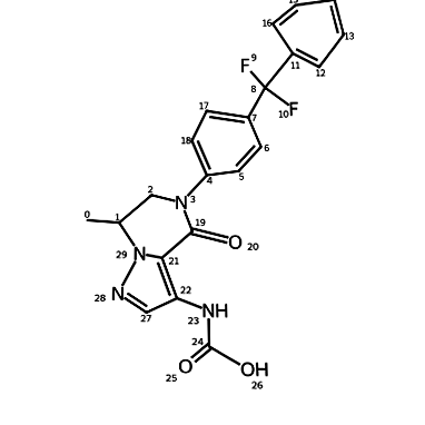 CC1CN(c2ccc(C(F)(F)c3ccccc3)cc2)C(=O)c2c(NC(=O)O)cnn21